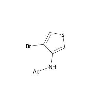 CC(=O)Nc1cscc1Br